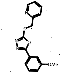 COc1cccc(-c2nnc(SCc3ccccn3)o2)c1